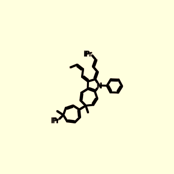 C\C=C/C=c1/c2c(n(-c3ccccc3)/c1=C/C=C/C(C)C)C=CC(C)(C1=CC=CC(C)(C(C)C)C=C1)C=C2